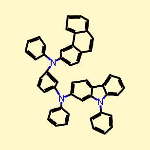 c1ccc(N(c2cccc(N(c3ccccc3)c3ccc4c5ccccc5n(-c5ccccc5)c4c3)c2)c2ccc3ccc4ccccc4c3c2)cc1